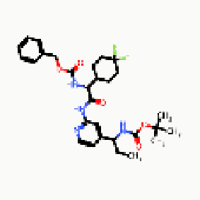 CCC(NC(=O)OC(C)(C)C)c1ccnc(NC(=O)[C@@H](NC(=O)OCc2ccccc2)C2CCC(F)(F)CC2)c1